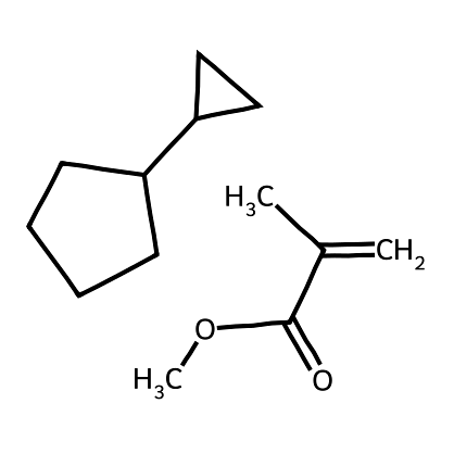 C1CCC(C2CC2)C1.C=C(C)C(=O)OC